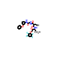 CC(C)CC(C(=O)NCC(=O)Nc1cccc(Oc2ccccc2)c1)C(=O)NC(CC(=O)O)C(=O)COc1c(F)c(F)cc(F)c1F